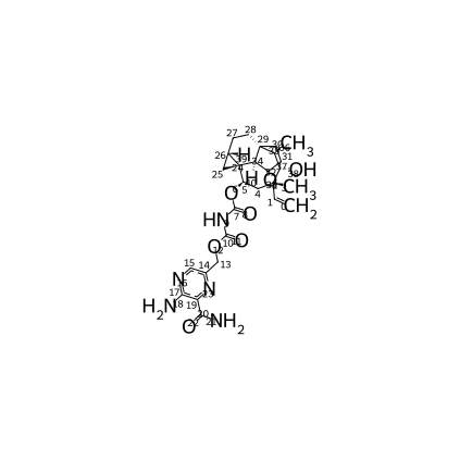 C=C[C@]1(C)C[C@@H](OC(=O)NC(=O)OCc2cnc(N)c(C(N)=O)n2)[C@]23C[C@@H]2CC[C@]2(CCC(=O)[C@H]23)[C@@H](C)[C@@H]1O